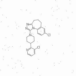 Clc1ccc2c(c1)CCCc1nnc(N3CCC(c4ncccc4Cl)CC3)n1-2